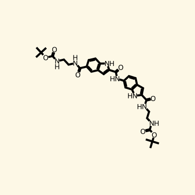 CC(C)(C)OC(=O)NCCNC(=O)c1ccc2[nH]c(C(=O)Nc3ccc4cc(C(=O)NCCNC(=O)OC(C)(C)C)[nH]c4c3)cc2c1